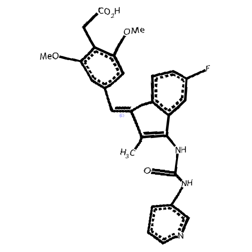 COc1cc(/C=C2/C(C)=C(NC(=O)Nc3cccnc3)c3cc(F)ccc32)cc(OC)c1CC(=O)O